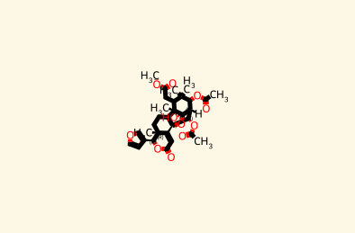 COC(=O)CC1C(C)(C)C(OC(C)=O)[C@@H]2[C@@H](OC(C)=O)[C@]34O[C@@]2(O)[C@]1(C)C3CC[C@]1(C)C4=CC(=O)O[C@H]1c1ccoc1